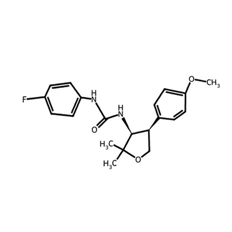 COc1ccc([C@H]2COC(C)(C)[C@H]2NC(=O)Nc2ccc(F)cc2)cc1